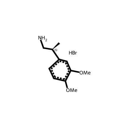 Br.COc1ccc([C@H](C)CN)cc1OC